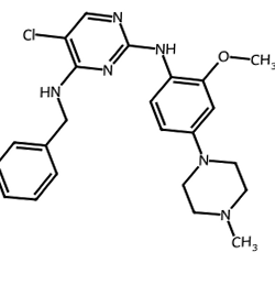 COc1cc(N2CCN(C)CC2)ccc1Nc1ncc(Cl)c(NCc2ccccc2)n1